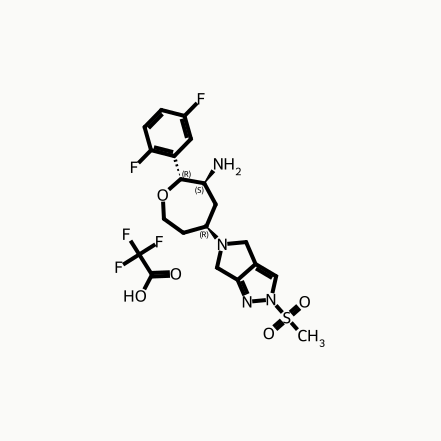 CS(=O)(=O)n1cc2c(n1)CN([C@H]1CCO[C@H](c3cc(F)ccc3F)[C@@H](N)C1)C2.O=C(O)C(F)(F)F